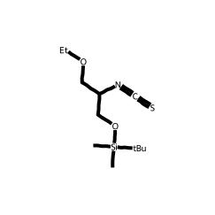 CCOCC(CO[Si](C)(C)C(C)(C)C)N=C=S